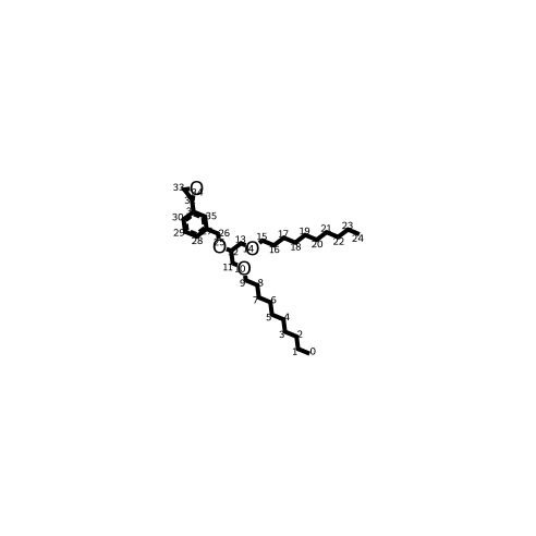 CCCCCCCCCCOCC(COCCCCCCCCCC)OCc1cccc(C2CO2)c1